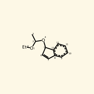 CCOC(C)OC1C=Cc2ccccc21